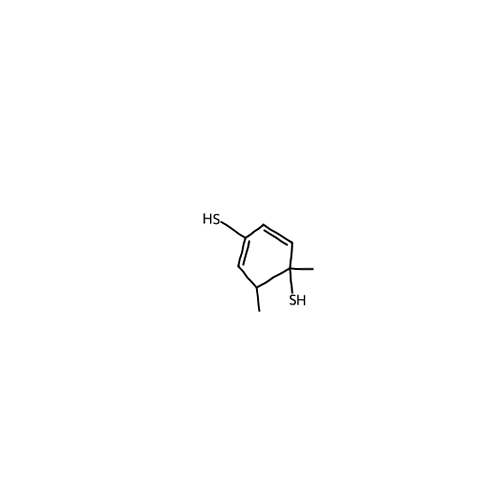 CC1C=C(S)C=CC1(C)S